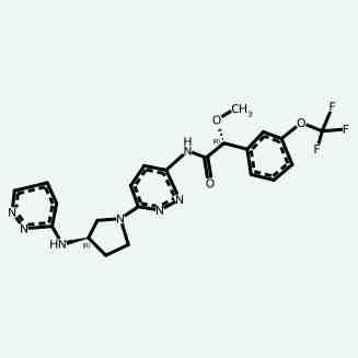 CO[C@@H](C(=O)Nc1ccc(N2CC[C@@H](Nc3cccnn3)C2)nn1)c1cccc(OC(F)(F)F)c1